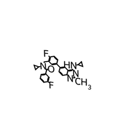 Cc1nc(NC2CC2)c2cc(-c3ccc(F)c(CN(C(=O)c4cccc(F)c4)C4CC4)c3)ccc2n1